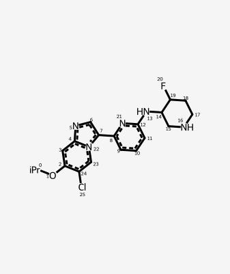 CC(C)Oc1cc2ncc(-c3cccc(NC4CNCCC4F)n3)n2cc1Cl